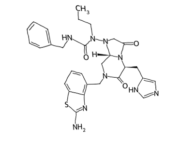 CCCN(C(=O)NCc1ccccc1)N1CC(=O)N2[C@@H](Cc3cnc[nH]3)C(=O)N(Cc3cccc4sc(N)nc34)C[C@@H]21